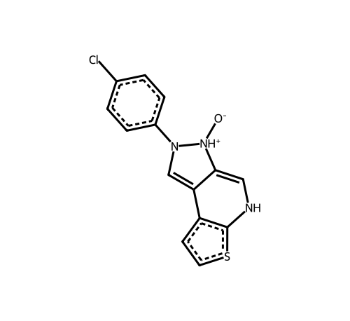 [O-][NH+]1C2=CNc3sccc3C2=CN1c1ccc(Cl)cc1